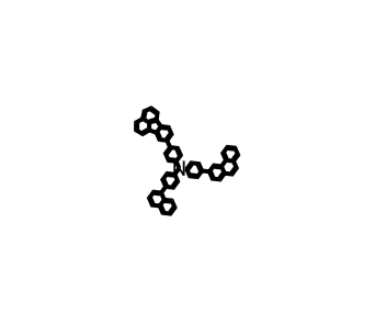 c1ccc2c(-c3ccc(N(c4ccc(-c5ccc6c(c5)-c5cccc7cccc-6c57)cc4)c4ccc(-c5ccc6ccc7ccccc7c6c5)cc4)cc3)cccc2c1